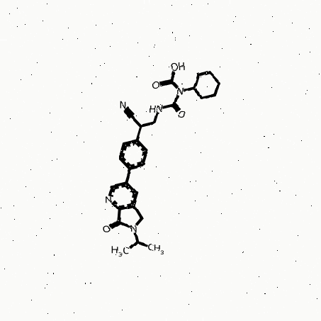 CC(C)N1Cc2cc(-c3ccc(C(C#N)CNC(=O)N(C(=O)O)C4CCCCC4)cc3)cnc2C1=O